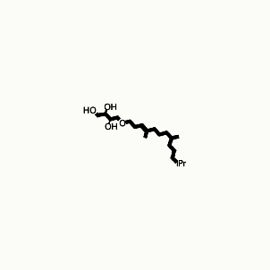 C/C(=C\CCOC[C@H](O)[C@H](O)CO)CCCC(C)CCCC(C)C